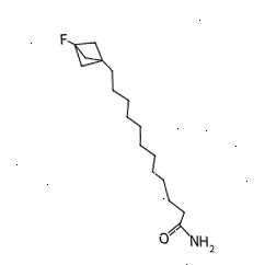 NC(=O)CCCCCCCCCCCC12CC(F)(C1)C2